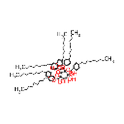 CCCCCCCCCc1ccc(C(=O)O[C@@]2(C(=O)c3ccc(CCCCCCCCC)cc3)[C@@](OC(=O)c3ccc(CCCCCCCCC)cc3)(C(=O)c3ccc(CCCCCCCCC)cc3)[C@@H](O)[C@H](O)[C@@H](O)[C@@]2(OC(=O)c2ccc(CCCCCCCCC)cc2)C(=O)c2ccc(CCCCCCCCC)cc2)cc1